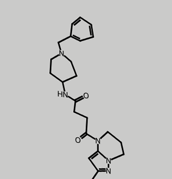 Cc1cc2n(n1)CCCN2C(=O)CCC(=O)NC1CCN(Cc2ccccc2)CC1